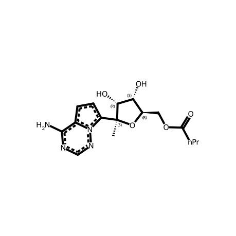 CCCC(=O)OC[C@H]1O[C@@](C)(c2ccc3c(N)ncnn23)[C@H](O)[C@@H]1O